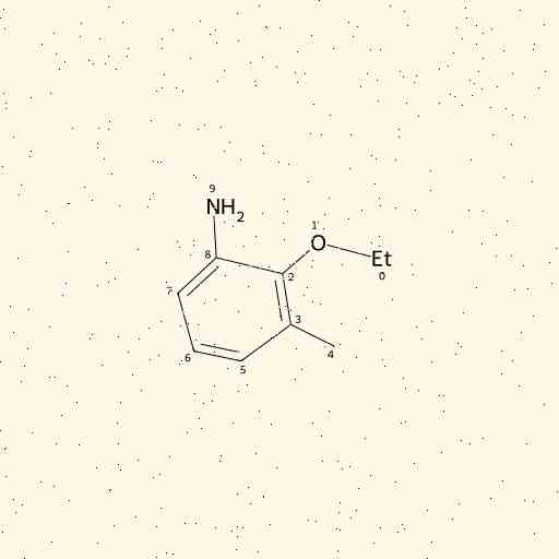 CCOc1c(C)cccc1N